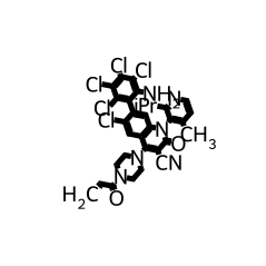 C=CC(=O)N1CCN(c2c(C#N)c(=O)n(-c3c(C)ccnc3C(C)C)c3cc(-c4c(N)c(Cl)c(Cl)c(Cl)c4Cl)c(Cl)cc23)CC1